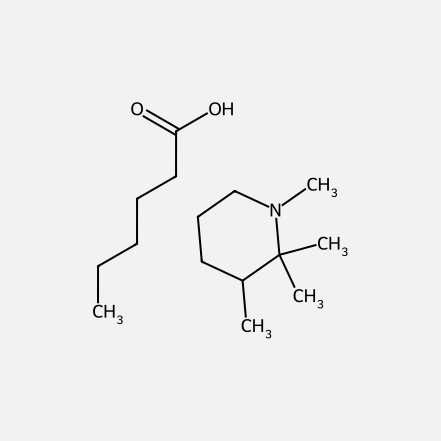 CC1CCCN(C)C1(C)C.CCCCCC(=O)O